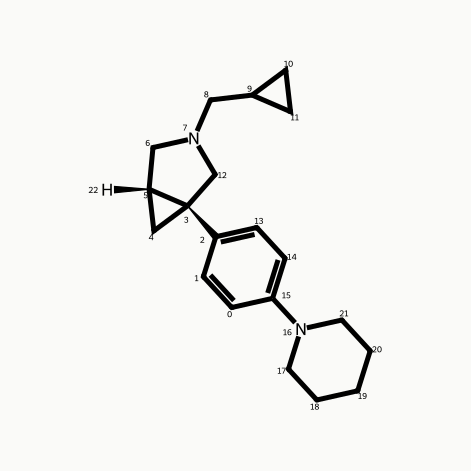 c1cc([C@@]23C[C@@H]2CN(CC2CC2)C3)ccc1N1CCCCC1